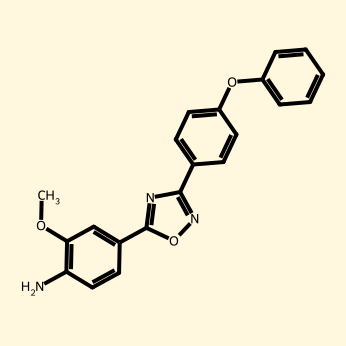 COc1cc(-c2nc(-c3ccc(Oc4ccccc4)cc3)no2)ccc1N